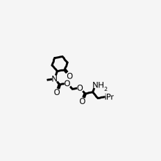 CC(C)CC(N)C(=O)OCOC(=O)N(C)C1CCCCC1=O